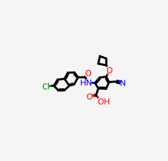 N#Cc1cc(C(=O)O)c(NC(=O)c2ccc3cc(Cl)ccc3c2)cc1OC1CCC1